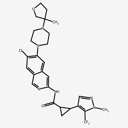 Cn1ncc(C2CC2C(=O)Nc2cc3cc(N4CCN(C5(C)CCOC5)CC4)c(Cl)cc3cn2)c1C(F)(F)F